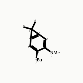 CNc1cc2c(cc1C(C)(C)C)C2(C)C